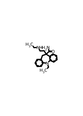 CCNCCC1(C(N)=O)Cc2ccccc2N(CC)c2ccccc21